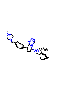 COc1ccccc1CNc1ccc(-c2ccc(CN3CCN(C)CC3)cc2)c2nncn12